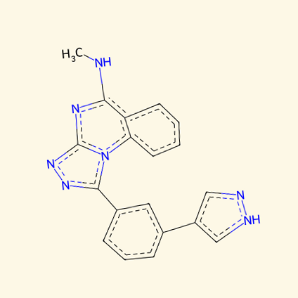 CNc1nc2nnc(-c3cccc(-c4cn[nH]c4)c3)n2c2ccccc12